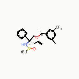 C=CC[C@](CO[C@H](C)c1cc(C)cc(C(F)(F)F)c1)(N[S+]([O-])C(C)(C)C)c1ccccc1